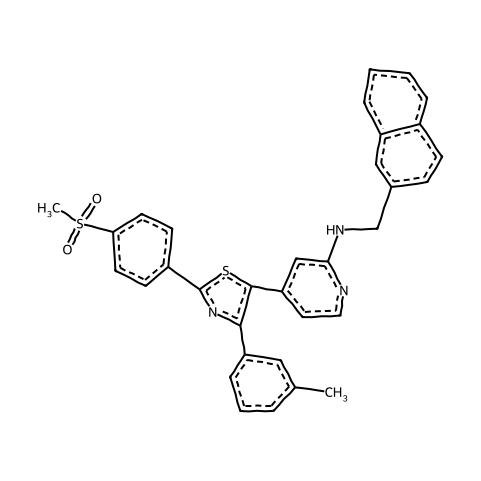 Cc1cccc(-c2nc(-c3ccc(S(C)(=O)=O)cc3)sc2-c2ccnc(NCc3ccc4ccccc4c3)c2)c1